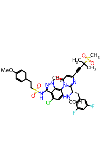 COc1ccc(CCS(=O)(=O)Nc2nn(C)c3c(-n4c([C@H](Cc5cc(F)cc(F)c5)NC(=O)O)nc(C#CC(C)(C)S(C)(=O)=O)cc4=O)ccc(Cl)c23)cc1